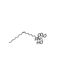 CCCCCCCC/C=C\CCCCCCCC(=O)N[C@H](C(=O)OC)[C@H](C)O